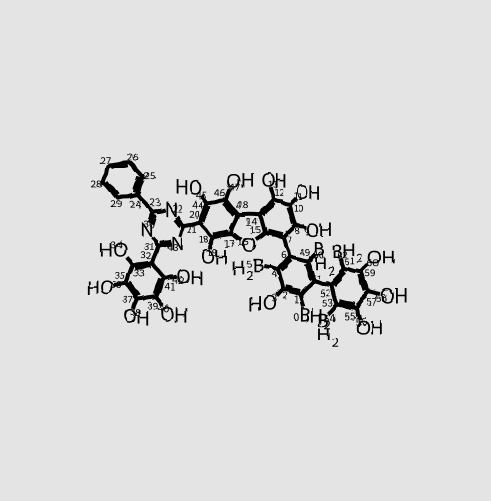 Bc1c(O)c(B)c(-c2c(O)c(O)c(O)c3c2oc2c(O)c(-c4nc(-c5ccccc5)nc(-c5c(O)c(O)c(O)c(O)c5O)n4)c(O)c(O)c23)c(B)c1-c1c(B)c(O)c(O)c(O)c1B